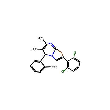 COc1ccccc1C1C(C(=O)O)=C(C)N=C2SC(c3c(Cl)cccc3Cl)=CN21